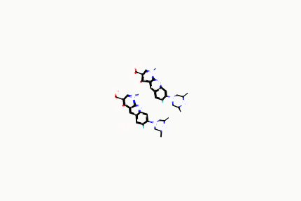 CC1CN(c2cc3nc4c(cc3cc2F)c(=O)c(C(=O)O)cn4C)CC(C)N1.CC1CN(c2cc3nc4c(cc3cc2F)c(=O)c(C(=O)O)cn4C)CC(C)N1.O